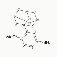 Bc1ccc(OC)c(C23CC4CC(CC(C4)C2)C3)c1